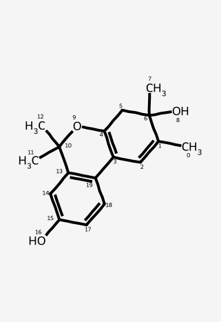 CC1=CC2=C(CC1(C)O)OC(C)(C)c1cc(O)ccc12